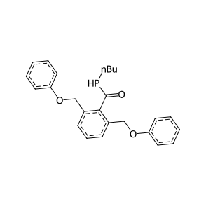 CCCCPC(=O)c1c(COc2ccccc2)cccc1COc1ccccc1